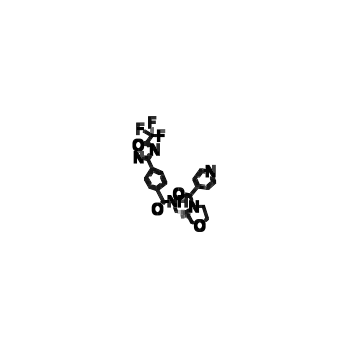 O=C(NC[C@H]1COCCN1C(=O)c1ccncc1)c1ccc(-c2noc(C(F)(F)F)n2)cc1